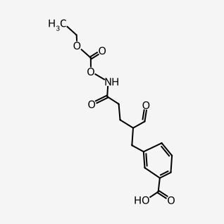 CCOC(=O)ONC(=O)CCC(C=O)Cc1cccc(C(=O)O)c1